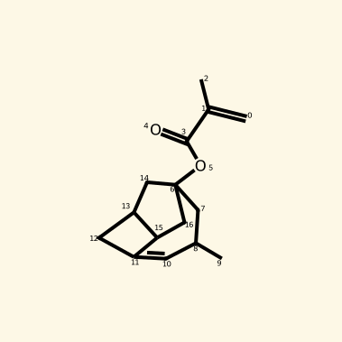 C=C(C)C(=O)OC12CC(C)C=C3CC(C1)C3C2